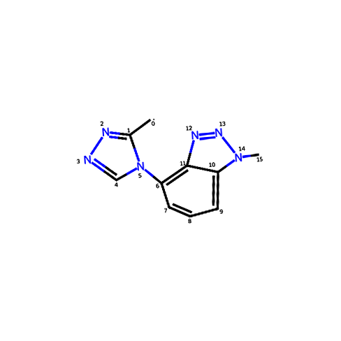 [CH2]c1nncn1-c1cccc2c1nnn2C